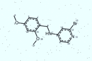 COc1ccc(CNc2ccnc(Br)c2)c(OC)c1